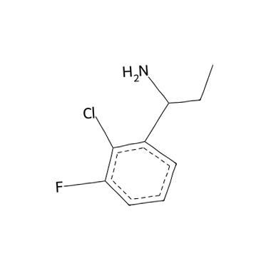 CCC(N)c1cccc(F)c1Cl